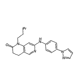 CC(C)CCN1C(=O)CCc2cnc(Nc3ccc(-n4cccn4)cc3)cc21